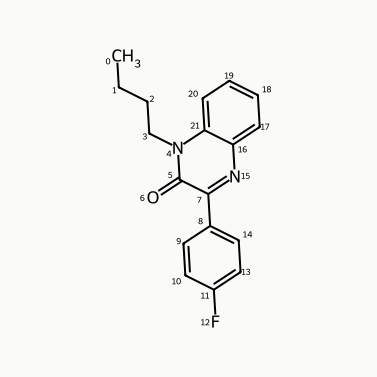 CCCCn1c(=O)c(-c2ccc(F)cc2)nc2ccccc21